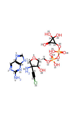 Nc1ncc2ncn([C@@H]3O[C@H](COP(=O)(O)OP(=O)(O)OC4C(=O)C4(O)O)C(O)C3(N)C#CCl)c2n1